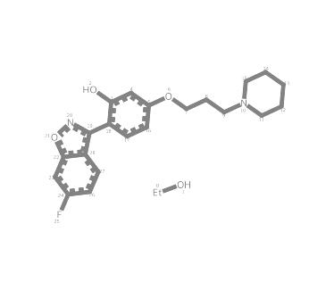 CCO.Oc1cc(OCCCN2CCCCC2)ccc1-c1noc2cc(F)ccc12